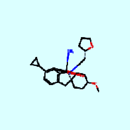 COC1CCC2(CC1)Cc1ccc(C3CC3)cc1[C@@]21N=C(N)N(C[C@@H]2CCCO2)C1=O